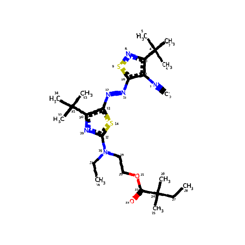 [C-]#[N+]c1c(C(C)(C)C)nsc1/N=N/c1sc(N(CC)CCOC(=O)C(C)(C)CC)nc1C(C)(C)C